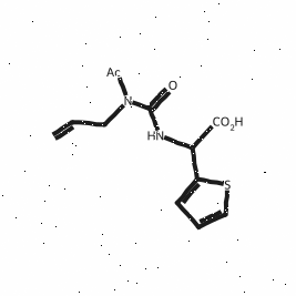 C=CCN(C(C)=O)C(=O)NC(C(=O)O)c1cccs1